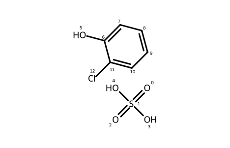 O=S(=O)(O)O.Oc1ccccc1Cl